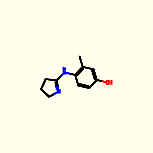 Cc1cc(O)ccc1NC1=NCCC1